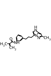 C=C(C)C(=O)Nc1cccc(CCCc2c[nH]c3cc(C)nn23)c1